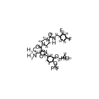 C[C@H](N)c1oc(-c2ccc(OC(F)F)c(OCC3CC3)c2)nc1C(=O)N1CCN(C(=O)NCc2ccc(F)cc2F)CC1.Cl